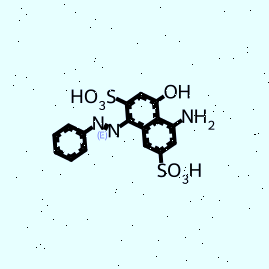 Nc1cc(S(=O)(=O)O)cc2c(/N=N/c3ccccc3)c(S(=O)(=O)O)cc(O)c12